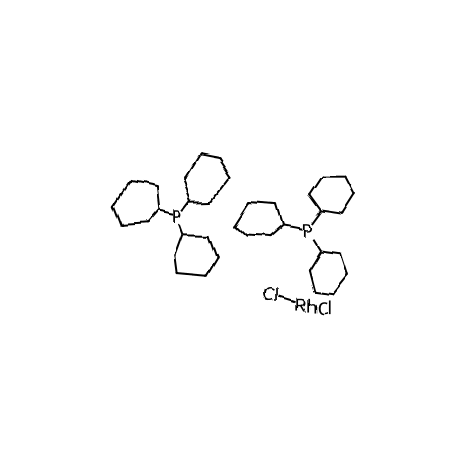 C1CCC(P(C2CCCCC2)C2CCCCC2)CC1.C1CCC(P(C2CCCCC2)C2CCCCC2)CC1.[Cl][Rh][Cl]